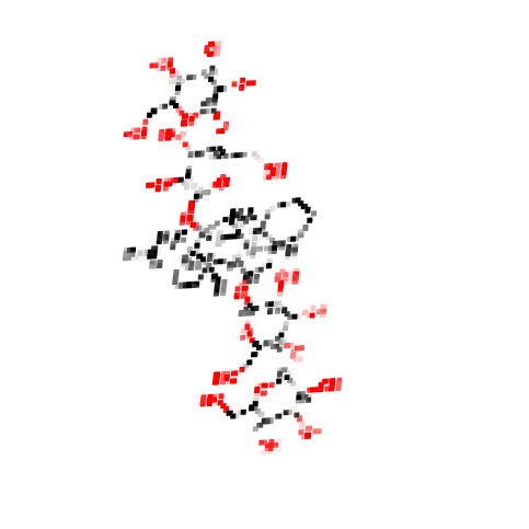 CCC[C@@H](C)[C@H]1CC[C@H]2[C@@H]3[C@H](O[C@@H]4OC(CO)[C@@H](O[C@H]5OC(CO)[C@@H](O)C(O)[C@@H]5O)C(O)[C@@H]4O)C[C@@H]4CCCC[C@]4(C)[C@H]3C[C@H](O[C@@H]3OC(CO)[C@@H](O[C@H]4OC(CO)[C@@H](O)[C@H](O)C4O)C(O)[C@@H]3O)[C@]12C